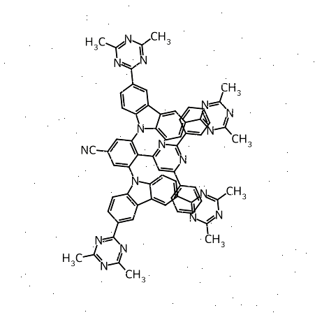 Cc1nc(C)nc(-c2ccc3c(c2)c2cc(-c4nc(C)nc(C)n4)ccc2n3-c2cc(C#N)cc(-n3c4ccc(-c5nc(C)nc(C)n5)cc4c4cc(-c5nc(C)nc(C)n5)ccc43)c2-c2cc(-c3ccccc3)nc(-c3ccccc3)n2)n1